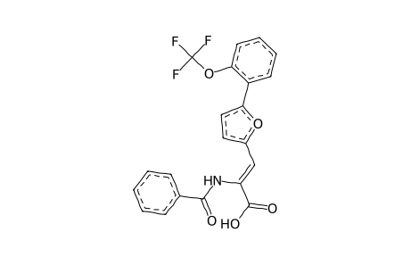 O=C(O)C(=Cc1ccc(-c2ccccc2OC(F)(F)F)o1)NC(=O)c1ccccc1